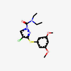 CCN(CC)C(=O)n1cc(Cl)c(Sc2cc(OC)cc(OC)c2)n1